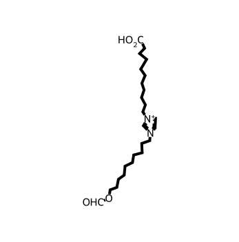 O=COCCCCCCCCCCn1cc[n+](CCCCCCCCCCC(=O)O)c1